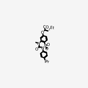 CCOC(=O)C(C)Oc1ccc2c(c1)N(C)C(=O)N(c1ccc(C(C)C)cc1)S2(=O)=O